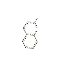 [SiH3]c1ccc2ccccc2n1